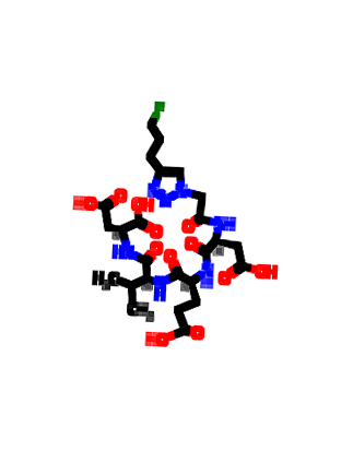 CC(C)[C@H](NC(=O)[C@H](CCC(=O)O)NC(=O)[C@H](CC(=O)O)NC(=O)Cn1cc(CCCF)nn1)C(=O)N[C@@H](CC(=O)O)C(=O)O